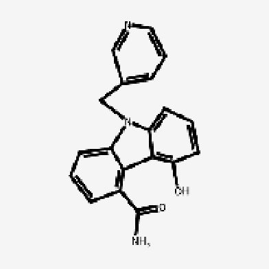 NC(=O)c1cccc2c1c1c(O)cccc1n2Cc1cccnc1